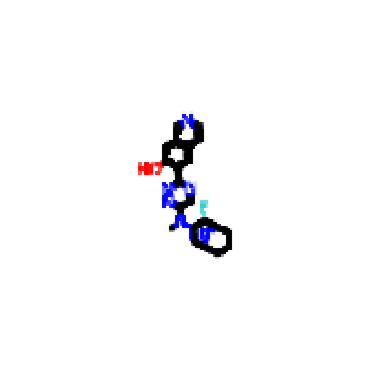 CN(c1cnc(-c2cc3ccncc3cc2O)nn1)[C@@H]1CC2CCCC(N2)[C@H]1F